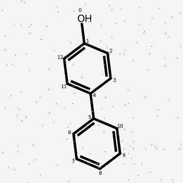 Oc1ccc(-c2c[c]ccc2)cc1